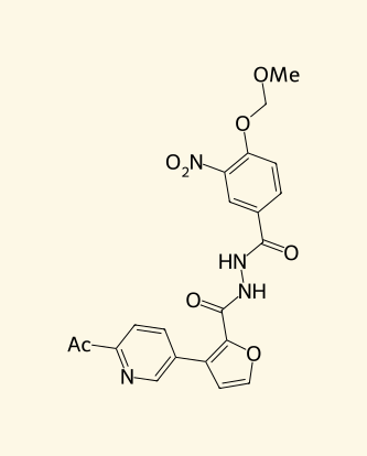 COCOc1ccc(C(=O)NNC(=O)c2occc2-c2ccc(C(C)=O)nc2)cc1[N+](=O)[O-]